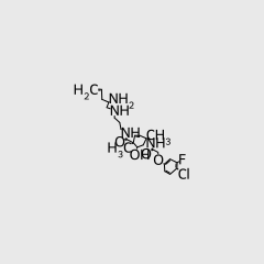 C=CCC(N)CNCCCNC(=O)C1(C)C=CC(C)(NC(=O)COc2ccc(Cl)c(F)c2)CC1O